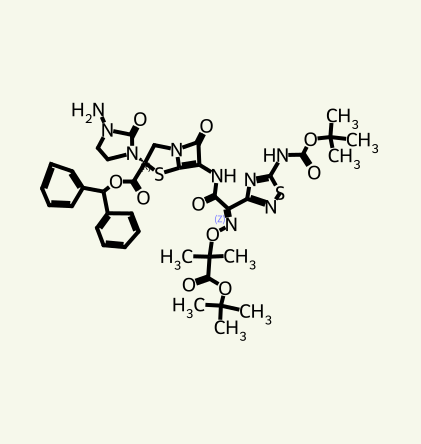 CC(C)(C)OC(=O)Nc1nc(/C(=N/OC(C)(C)C(=O)OC(C)(C)C)C(=O)NC2=C3S[C@](C(=O)OC(c4ccccc4)c4ccccc4)(N4CCN(N)C4=O)CN3C2=O)ns1